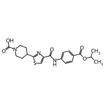 CC(C)OC(=O)c1ccc(NC(=O)c2csc(C3CCN(C(=O)O)CC3)n2)cc1